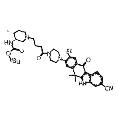 CCc1cc2c(cc1N1CCN(C(=O)CCCN3CC[C@@H](C)[C@@H](NC(=O)OC(C)(C)C)C3)CC1)C(C)(C)c1[nH]c3cc(C#N)ccc3c1C2=O